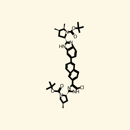 C[C@@H]1C[C@@H](c2nc(-c3ccc4cc(-c5ccc6nc([C@@H]7C[C@@H](C)[C@@H](C)N7C(=O)OC(C)(C)C)[nH]c6c5)ccc4c3)c(Cl)[nH]2)N(C(=O)OC(C)(C)C)C1